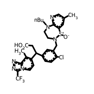 CCCCN1CCN(Cc2cc(C(CC(=O)O)c3ccn4c(C(F)(F)F)nnc4c3C)ccc2Cl)[S+]([O-])c2cc(C)cnc21